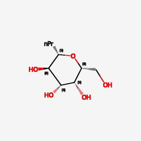 CCC[C@@H]1O[C@H](CO)[C@H](O)[C@H](O)[C@H]1O